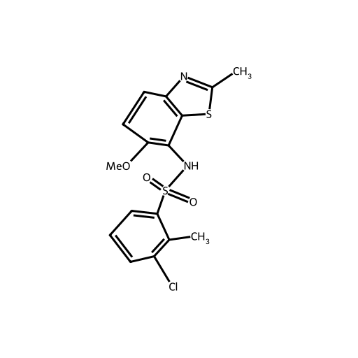 COc1ccc2nc(C)sc2c1NS(=O)(=O)c1cccc(Cl)c1C